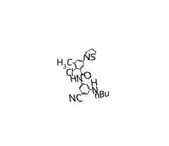 CCCCNc1cc(C#N)cc(NC(=O)c2cc(N3CCCS3)cc(C)c2Cl)c1